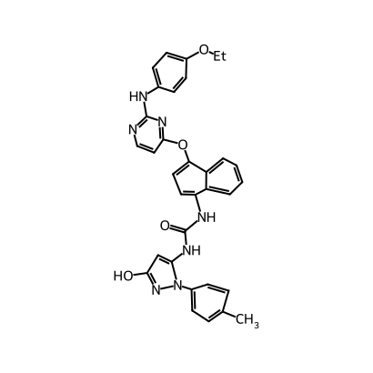 CCOc1ccc(Nc2nccc(Oc3ccc(NC(=O)Nc4cc(O)nn4-c4ccc(C)cc4)c4ccccc34)n2)cc1